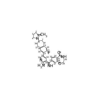 C[C@@H]1CCCN1C1CCc2cc(F)c(-c3cnc(N)c(C(=N)c4ccc5c(c4)OCCNC5=O)c3)cc2CC1